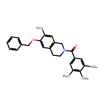 COc1cc2c(cc1OCc1ccccc1)CCN(C(=O)c1cc(OC)c(OC)c(OC)c1)C2